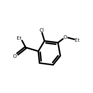 CCOc1cccc(C(=O)CC)c1Cl